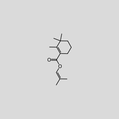 CC(C)=COC(=O)C1=C(C)C(C)(C)CCC1